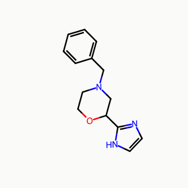 c1ccc(CN2CCOC(c3ncc[nH]3)C2)cc1